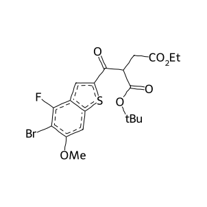 CCOC(=O)CC(C(=O)OC(C)(C)C)C(=O)c1cc2c(F)c(Br)c(OC)cc2s1